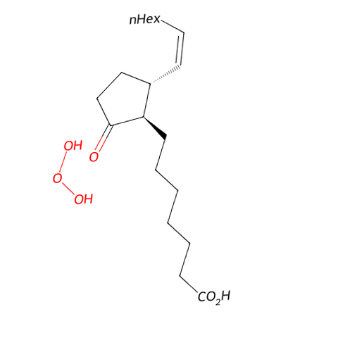 CCCCCC/C=C\[C@H]1CCC(=O)[C@@H]1CCCCCCC(=O)O.OOO